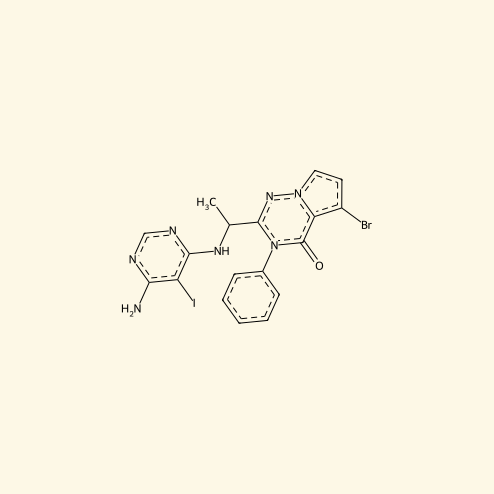 CC(Nc1ncnc(N)c1I)c1nn2ccc(Br)c2c(=O)n1-c1ccccc1